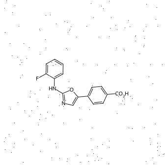 O=C(O)c1ccc(-c2cnc(Nc3ccccc3F)o2)cc1